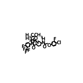 CC(C)(C)OC(=O)N1CC(NC(=O)COc2ccc(Cl)c(F)c2)CCC1C(=O)Nc1ccc(F)c(C(F)(F)F)c1